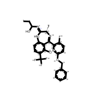 CCC(O)/N=C1\Nc2ccc(C(F)(F)F)c(Cl)c2C(c2nc(OCc3ccccc3)ccc2F)=N[C@H]1C